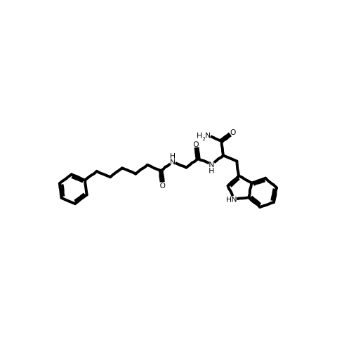 NC(=O)C(Cc1c[nH]c2ccccc12)NC(=O)CNC(=O)CCCCCc1ccccc1